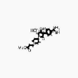 COC(=O)CCN1CCC(N2CC(OC)=C(c3ccc(C(=N)N)cc3)C2=O)CC1.Cl